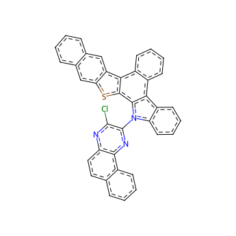 Clc1nc2ccc3ccccc3c2nc1-n1c2ccccc2c2c3ccccc3c3c4cc5ccccc5cc4sc3c21